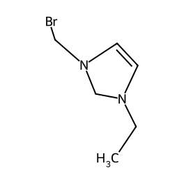 CCN1C=CN(CBr)C1